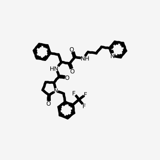 O=C(NCCCc1ccccn1)C(=O)C(Cc1ccccc1)NC(=O)C1CCC(=O)N1Cc1ccccc1C(F)(F)F